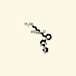 CSCCC(O)CNC(=O)CC1CCCCN1c1ccnc(-n2ccnc2)n1